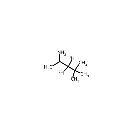 [2H]C([2H])(C(C)N)C(C)(C)C